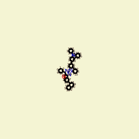 c1ccc(-c2nc(-n3c4ccccc4c4cc(-c5ccc6c(c5)c5ccccc5n6-c5ccccc5)ccc43)nc3c2oc2ccc(-c4cccc5ccccc45)cc23)cc1